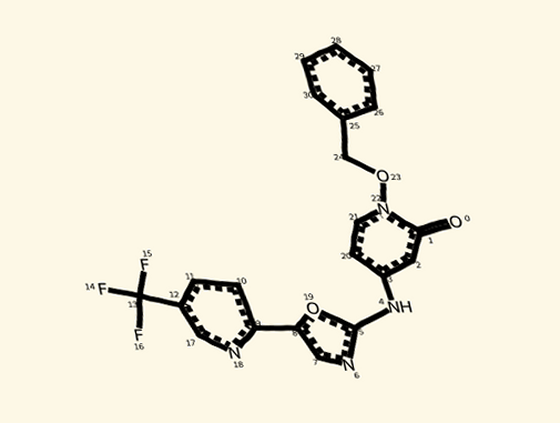 O=c1cc(Nc2ncc(-c3ccc(C(F)(F)F)cn3)o2)ccn1OCc1ccccc1